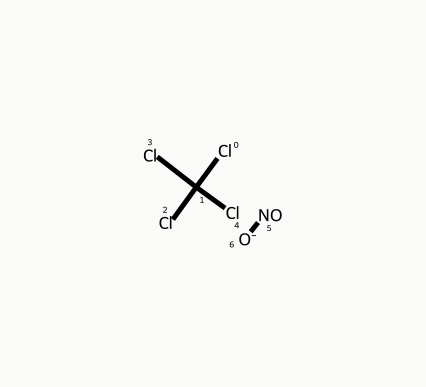 ClC(Cl)(Cl)Cl.O=[NH+][O-]